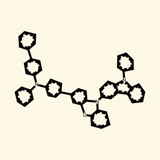 c1ccc(-c2ccc(N(c3ccccc3)c3ccc(-c4ccc5c(c4)Oc4ccccc4N5c4ccc5c(c4)c4ccccc4n5-c4ccccc4)cc3)cc2)cc1